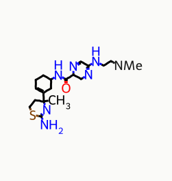 CNCCNC1=NCC(C(=O)NC2CCC=C(C3(C)CCSC(N)=N3)C2)N=C1